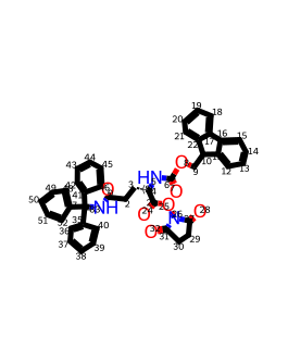 O=C(CC[C@H](NC(=O)OCC1c2ccccc2-c2ccccc21)C(=O)ON1C(=O)CCC1=O)NC(c1ccccc1)(c1ccccc1)c1ccccc1